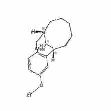 CCOc1ccc2c(c1)[C@H]1CCCCC[C@@H](C2)[C@@H]1NC